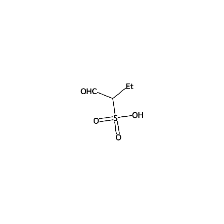 CCC(C=O)S(=O)(=O)O